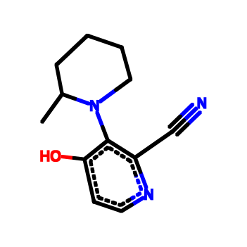 CC1CCCCN1c1c(O)ccnc1C#N